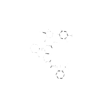 CC(C)(C)c1ccccc1NC(=O)C(=O)N[C@@H](CC1CCCCC1)C(=O)N[C@@H](C[C@@H]1CCNC1=O)C(=O)COc1c(F)c(F)cc(F)c1F